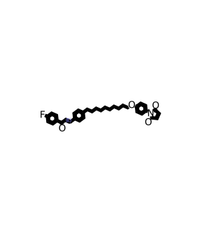 O=C(/C=C/c1ccc(CCCCCCCCCCOc2ccc(N3C(=O)C=CC3=O)cc2)cc1)c1ccc(F)cc1